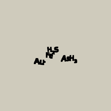 S.[AsH3].[Au].[Fe]